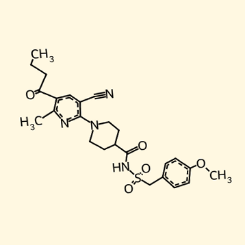 CCCC(=O)c1cc(C#N)c(N2CCC(C(=O)NS(=O)(=O)Cc3ccc(OC)cc3)CC2)nc1C